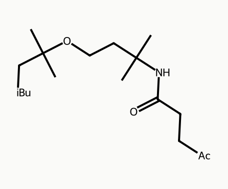 CCC(C)CC(C)(C)OCCC(C)(C)NC(=O)CCC(C)=O